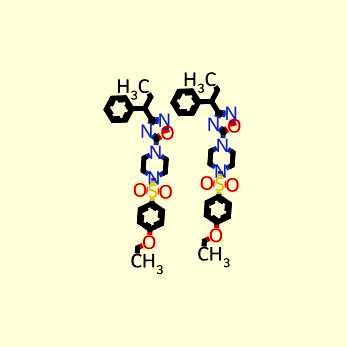 CCOc1ccc(S(=O)(=O)N2CCN(c3nc(C(CC)c4ccccc4)no3)CC2)cc1.CCOc1ccc(S(=O)(=O)N2CCN(c3nc(C(CC)c4ccccc4)no3)CC2)cc1